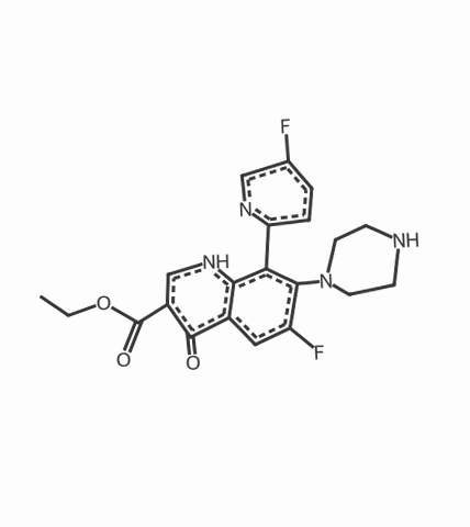 CCOC(=O)c1c[nH]c2c(-c3ccc(F)cn3)c(N3CCNCC3)c(F)cc2c1=O